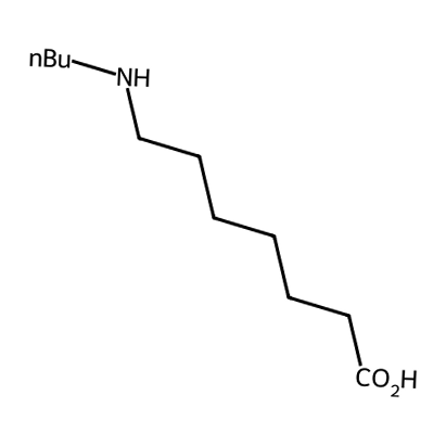 CCCCNCCCCCCC(=O)O